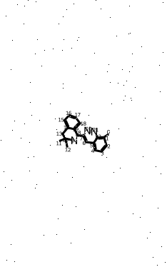 Cc1cccc2cc(C3=NC(C)(C)Cc4ccccc43)nnc12